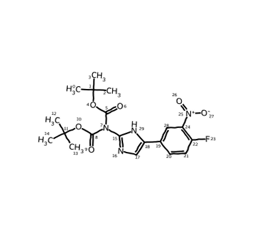 CC(C)(C)OC(=O)N(C(=O)OC(C)(C)C)c1ncc(-c2ccc(F)c([N+](=O)[O-])c2)[nH]1